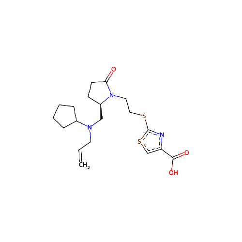 C=CCN(C[C@H]1CCC(=O)N1CCSc1nc(C(=O)O)cs1)C1CCCC1